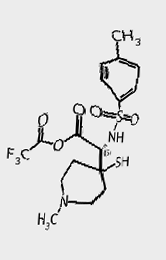 Cc1ccc(S(=O)(=O)N[C@@H](C(=O)OC(=O)C(F)(F)F)C2(S)CCN(C)CC2)cc1